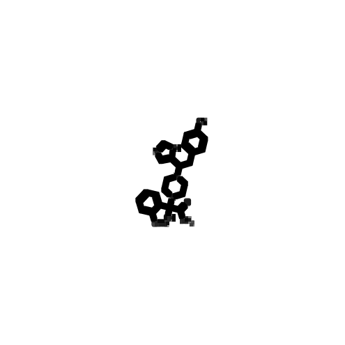 COc1ccccc1C(O)(C(N)=O)N1CCN(C(Cc2ccc(C#N)cc2)c2cnc[nH]2)CC1